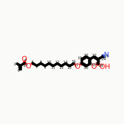 C=C(C)C(=O)OCCCCCCCCCCCOc1ccc(C=C(C#N)C(=O)O)cc1